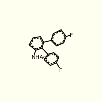 CC(=O)Nc1cccc(-c2ccc(F)cc2)c1-c1ccc(F)cc1